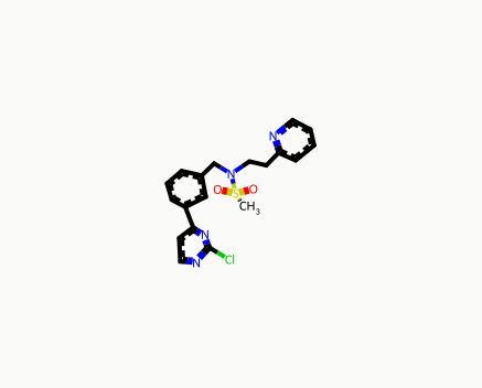 CS(=O)(=O)N(CCc1ccccn1)Cc1cccc(-c2ccnc(Cl)n2)c1